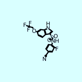 N#Cc1ccc(NS(=O)(=O)c2c[nH]c3cc(OCC(F)(F)F)ccc23)c(F)c1